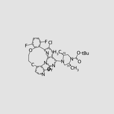 CC(C)c1nccc2c1-n1c(=O)nc(N3C[C@H](C)N(C(=O)OC(C)(C)C)C[C@@H]3C)c3cc(Cl)c(nc31)-c1c(F)ccc(F)c1OCCC2